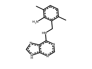 Cc1ccc(C)c(CNc2ncnc3[nH]cnc23)c1N